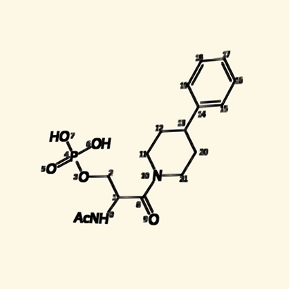 CC(=O)NC(COP(=O)(O)O)C(=O)N1CCC(c2ccccc2)CC1